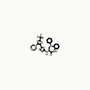 O=C1Nc2ccccc2N(c2ccccc2)C[C@@H]1Nc1nnc(-c2nc(C(F)(F)F)sc2N2CCOCC2)o1